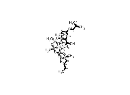 C=C(C)COC(CC)OC(C(C)O)[Si](C)(C)O[Si](C)(C)O[Si](C)(C)O[Si](C)(C)O[Si](C)(C)CCCC